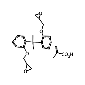 C=C(C)C(=O)O.CC(C)(c1ccccc1OCC1CO1)c1ccccc1OCC1CO1